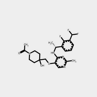 CC(=O)N1CCC(O)(COc2cnc(C)nc2N[C@H](C)c2cccc(C(F)F)c2F)CC1